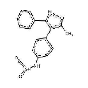 Cc1onc(-c2ccccc2)c1-c1ccc(N[SH](=O)=O)cc1